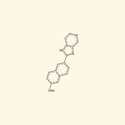 COc1ccc2cc(-c3nc4cnccc4[nH]3)ccc2c1